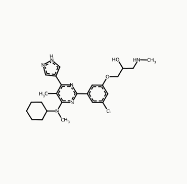 CNCC(O)COc1cc(Cl)cc(-c2nc(-c3cn[nH]c3)c(C)c(N(C)C3CCCCC3)n2)c1